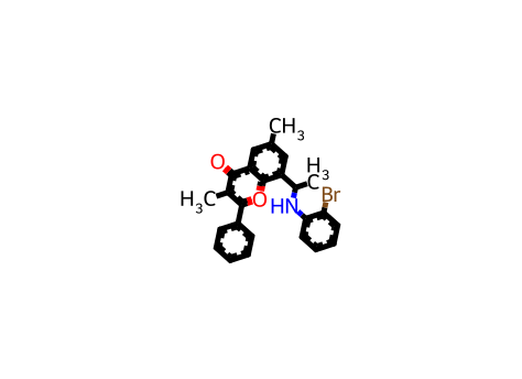 Cc1cc(C(C)Nc2ccccc2Br)c2oc(-c3ccccc3)c(C)c(=O)c2c1